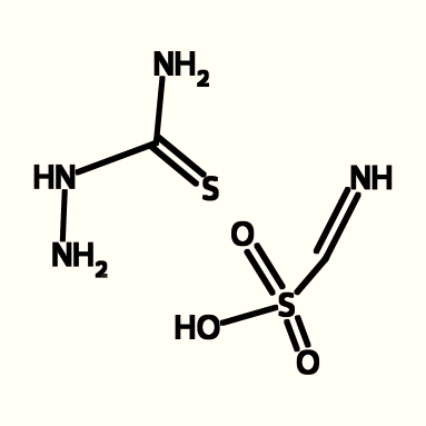 N=CS(=O)(=O)O.NNC(N)=S